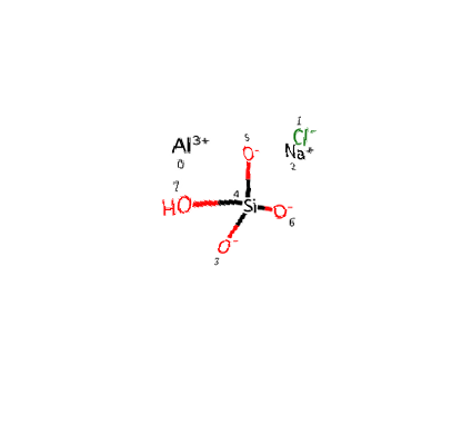 [Al+3].[Cl-].[Na+].[O-][Si]([O-])([O-])O